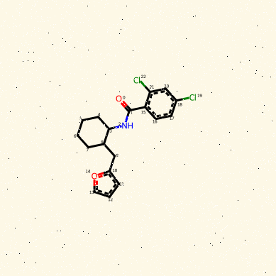 O=C(NC1CCCCC1Cc1ccco1)c1ccc(Cl)cc1Cl